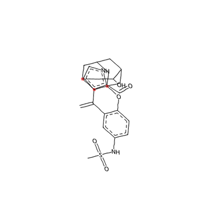 C=C(c1cc(NS(C)(=O)=O)ccc1OC12CC3CC(C1)C(O)C(C3)C2)c1cc[nH]c1C=O